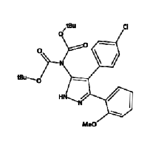 COc1ccccc1-c1n[nH]c(N(C(=O)OC(C)(C)C)C(=O)OC(C)(C)C)c1-c1ccc(Cl)cc1